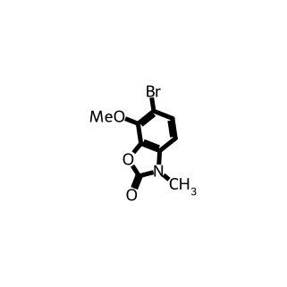 COc1c(Br)ccc2c1oc(=O)n2C